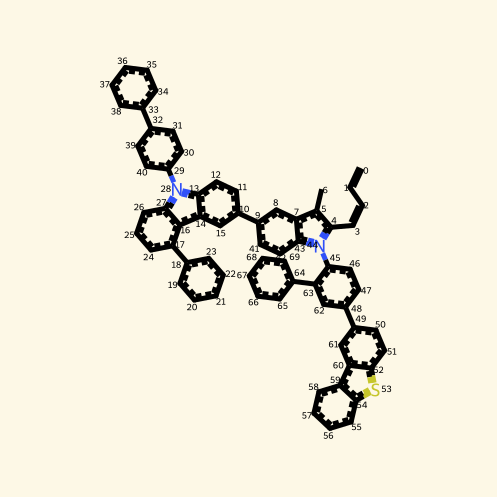 C=C/C=C\c1c(C)c2cc(-c3ccc4c(c3)c3c(-c5ccccc5)cccc3n4-c3ccc(-c4ccccc4)cc3)ccc2n1-c1ccc(-c2ccc3sc4ccccc4c3c2)cc1-c1ccccc1